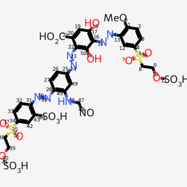 COc1ccc(S(=O)(=O)CCOS(=O)(=O)O)cc1N=Nc1c(O)cc(C(=O)O)c(N=Nc2ccc(N=Nc3ccc(S(=O)(=O)CCOS(=O)(=O)O)cc3S(=O)(=O)O)c(NCN=O)c2)c1O